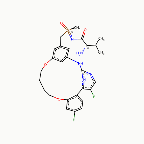 CC(C)[C@H](N)C(=O)N=[S@@](C)(=O)Cc1cc2cc(c1)OCCCCOc1cc(F)ccc1-c1nc(ncc1F)N2